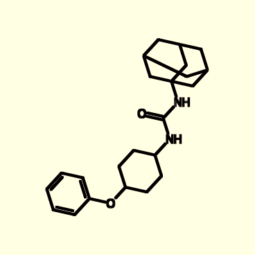 O=C(NC1CCC(Oc2ccccc2)CC1)NC12CC3CC(CC(C3)C1)C2